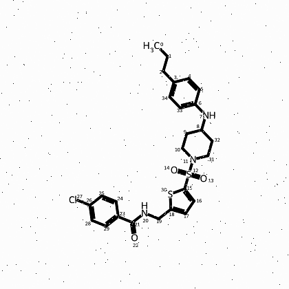 CCCc1ccc(NC2CCN(S(=O)(=O)c3ccc(CNC(=O)c4ccc(Cl)cc4)s3)CC2)cc1